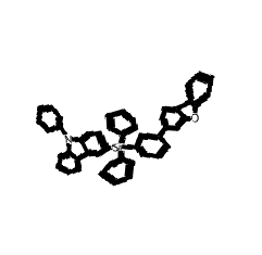 c1ccc(-n2c3ccccc3c3cc([Si](c4ccccc4)(c4ccccc4)c4cccc(-c5ccc6c(c5)oc5ccccc56)c4)ccc32)cc1